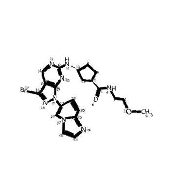 COCCNC(=O)[C@@H]1CC[C@@H](Nc2ncc3c(Br)nn(-c4ccc5nccn5c4)c3n2)C1